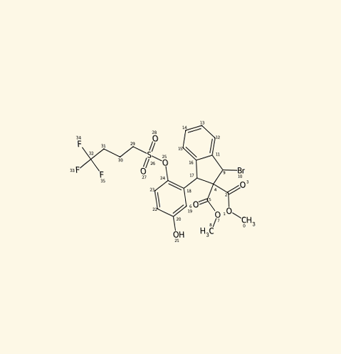 COC(=O)C1(C(=O)OC)C(Br)c2ccccc2C1c1cc(O)ccc1OS(=O)(=O)CCCC(F)(F)F